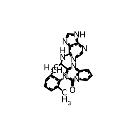 Cc1cccc(C)c1-n1c(C(C)Nc2ncnc3[nH]cnc23)nc2cccn2c1=O